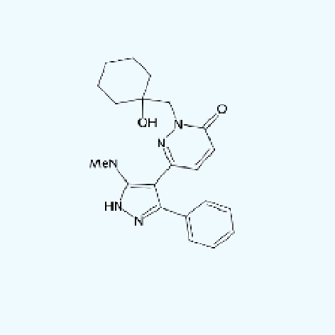 CNc1[nH]nc(-c2ccccc2)c1-c1ccc(=O)n(CC2(O)CCCCC2)n1